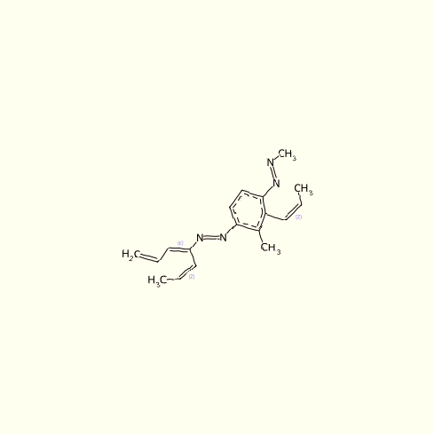 C=C/C=C(\C=C/C)N=Nc1ccc(N=NC)c(/C=C\C)c1C